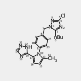 CCCCc1nc(Cl)nn1Cc1ccc(-n2c(C)ccc2-c2nnn[nH]2)cc1